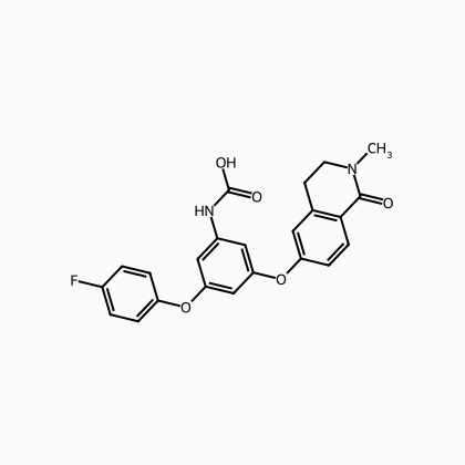 CN1CCc2cc(Oc3cc(NC(=O)O)cc(Oc4ccc(F)cc4)c3)ccc2C1=O